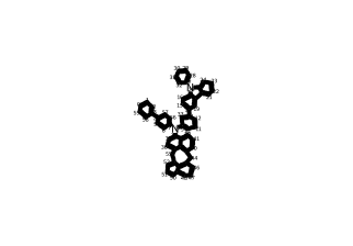 c1ccc(-c2ccc(N(c3cccc(-c4ccc5c(c4)c4ccccc4n5-c4ccccc4)c3)c3ccc4c5c(cccc35)Cc3cccc5cccc(c35)C4)cc2)cc1